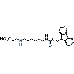 O=C(O)CCNCCCCCCNC(=O)OCC1c2ccccc2-c2ccccc21